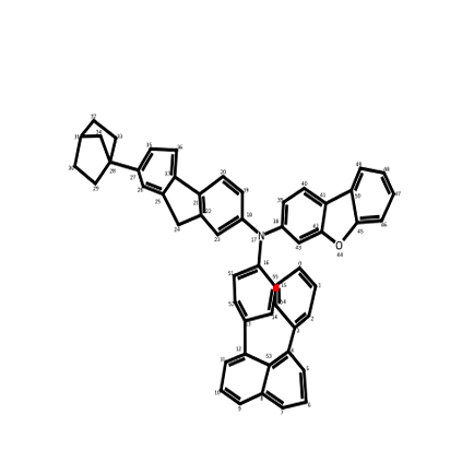 c1ccc(-c2cccc3cccc(-c4ccc(N(c5ccc6c(c5)Cc5cc(C78CCC(CC7)C8)ccc5-6)c5ccc6c(c5)oc5ccccc56)cc4)c23)cc1